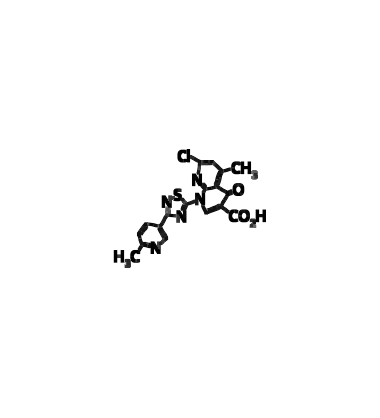 Cc1ccc(-c2nsc(-n3cc(C(=O)O)c(=O)c4c(C)cc(Cl)nc43)n2)cn1